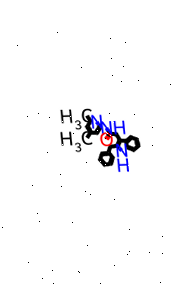 Cc1cc(C)nc(NC(=O)Cc2c(Cc3ccccc3)[nH]c3ccccc23)c1